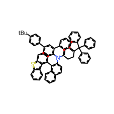 CC(C)(C)c1ccc(-c2ccc(N(C3=CC4=C(CC3)C(c3ccccc3)(c3ccccc3)c3ccccc34)c3ccc4ccccc4c3-c3c#ccc4sc5ccccc5c34)c(-c3ccccc3)c2)cc1